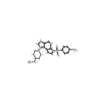 Cc1ccc(S(=O)(=O)n2ccc3c4c(cnc32)ncn4N2CCC(CC#N)CC2)cc1